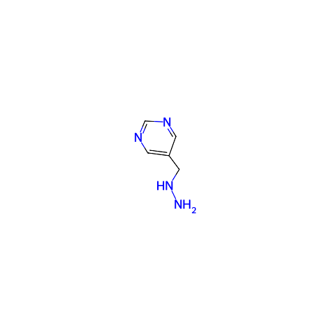 NNCc1cncnc1